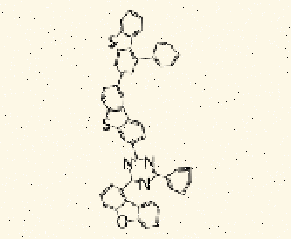 c1ccc(-c2nc(-c3ccc4c(c3)sc3ccc(-c5cc(-c6ccccc6)c6c(c5)sc5ccccc56)cc34)nc(-c3cccc4oc5ccccc5c34)n2)cc1